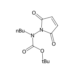 CCCCN(C(=O)OC(C)(C)C)N1C(=O)C=CC1=O